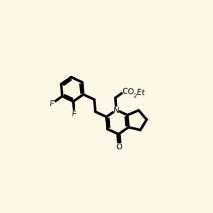 CCOC(=O)Cn1c(CCc2cccc(F)c2F)cc(=O)c2c1CCC2